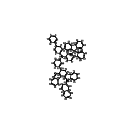 c1ccc(-c2ccc(N(c3cccc(-c4cc5c6ccccc6n(-c6ccc7ccccc7c6)c5c5c4sc4ccccc45)c3)c3ccc4c(c3)C3(c5ccccc5-c5ccccc53)c3ccccc3-4)cc2)cc1